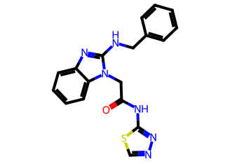 O=C(Cn1c(NCc2ccccc2)nc2ccccc21)Nc1nncs1